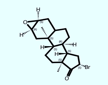 C[C@]12C[C@H]3O[C@H]3CC1CC[C@@H]1[C@@H]2CC[C@]2(C)C(=O)[C@@H](Br)C[C@@H]12